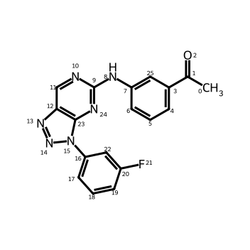 CC(=O)c1cccc(Nc2ncc3nnn(-c4cccc(F)c4)c3n2)c1